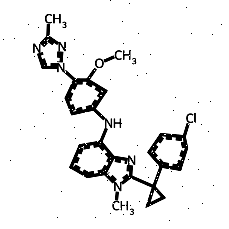 COc1cc(Nc2cccc3c2nc(C2(c4ccc(Cl)cc4)CC2)n3C)ccc1-n1cnc(C)n1